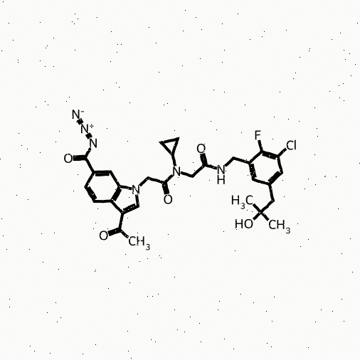 CC(=O)c1cn(CC(=O)N(CC(=O)NCc2cc(CC(C)(C)O)cc(Cl)c2F)C2CC2)c2cc(C(=O)N=[N+]=[N-])ccc12